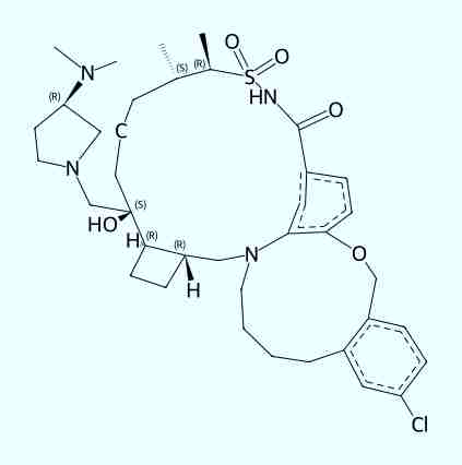 C[C@@H]1[C@@H](C)CCC[C@@](O)(CN2CC[C@@H](N(C)C)C2)[C@@H]2CC[C@H]2CN2CCCCc3cc(Cl)ccc3COc3ccc(cc32)C(=O)NS1(=O)=O